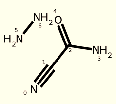 N#CC(N)=O.NN